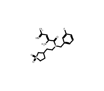 N=C(/C=C(\N)C(=O)N(CCC1CCS(=O)(=O)C1)Cc1cccc(F)c1)C(F)(F)F